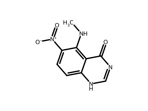 CNc1c([N+](=O)[O-])ccc2[nH]cnc(=O)c12